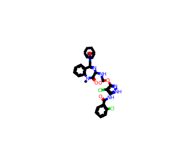 CN1C(=O)C(NC(=O)Oc2n[nH]c(NC(=O)c3ccccc3Cl)c2Cl)N=C(N2CC3CCC(CC3)C2)c2ccccc21